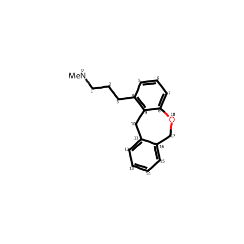 CNCCCc1cccc2c1Cc1ccccc1CO2